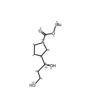 CC(C)(C)OC(=O)N1CCC([C@@H](O)CCO)C1